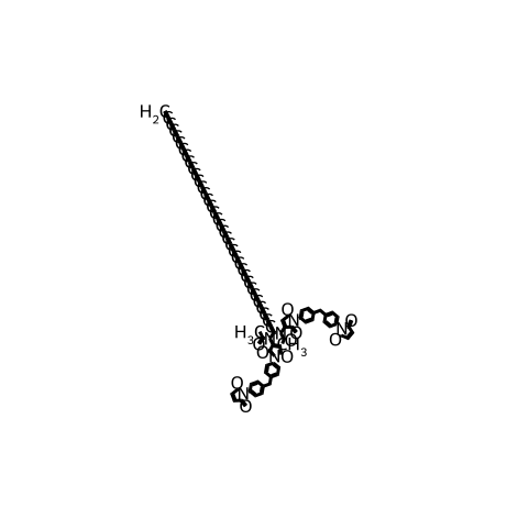 C=C=C=C=C=C=C=C=C=C=C=C=C=C=C=C=C=C=C=C=C=C=C=C=C=C=C=C=C=C=C=C=C=C=C=C(N(C(C)=O)C1=CC(=O)N(c2ccc(Cc3ccc(N4C(=O)C=CC4=O)cc3)cc2)C1=O)N(C(C)=O)C1=CC(=O)N(c2ccc(Cc3ccc(N4C(=O)C=CC4=O)cc3)cc2)C1=O